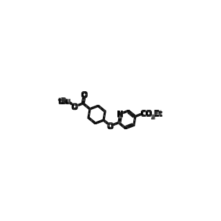 CCOC(=O)c1ccc(OC2CCC(C(=O)OC(C)(C)C)CC2)nc1